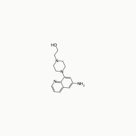 Nc1cc(N2CCN(CCO)CC2)c2ncccc2c1